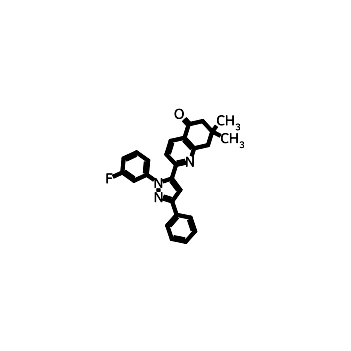 CC1(C)CC(=O)c2ccc(-c3cc(-c4ccccc4)nn3-c3cccc(F)c3)nc2C1